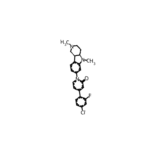 CN1CCC2C(C1)c1ccc(-n3ccc(-c4ccc(Cl)cc4F)cc3=O)cc1N2C